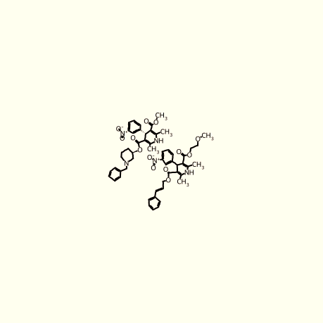 COC(=O)C1=C(C)NC(C)=C(C(=O)O[C@@H]2CCCN(Cc3ccccc3)C2)[C@@H]1c1cccc([N+](=O)[O-])c1.COCCOC(=O)C1=C(C)NC(C)=C(C(=O)OC/C=C/c2ccccc2)C1c1cccc([N+](=O)[O-])c1